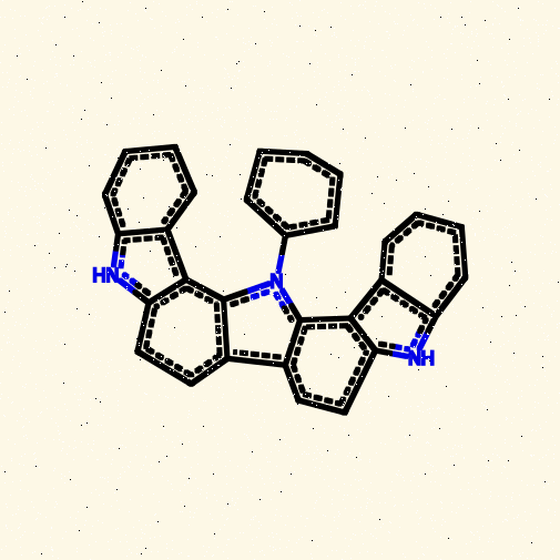 c1ccc(-n2c3c(ccc4[nH]c5ccccc5c43)c3ccc4[nH]c5ccccc5c4c32)cc1